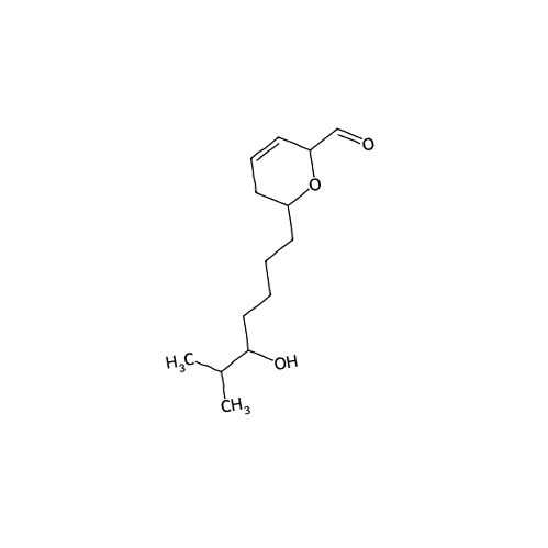 CC(C)C(O)CCCCC1CC=CC(C=O)O1